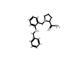 NC(=O)C1[CH]CCN1Cc1ccccc1OCc1ccccc1